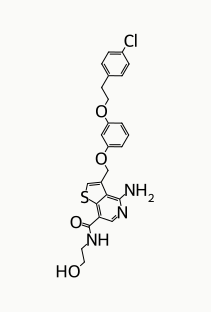 Nc1ncc(C(=O)NCCO)c2scc(COc3cccc(OCCc4ccc(Cl)cc4)c3)c12